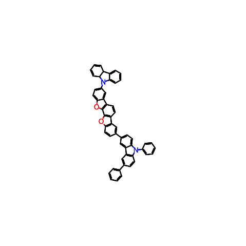 C1=CC2c3ccccc3N(c3ccc4oc5c(ccc6c7cc(-c8ccc9c(c8)c8cc(-c%10ccccc%10)ccc8n9-c8ccccc8)ccc7oc65)c4c3)C2C=C1